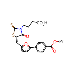 CC(C)OC(=O)c1ccc(-c2ccc(C=C3SC(=S)N(CCCC(=O)O)C3=O)o2)cc1